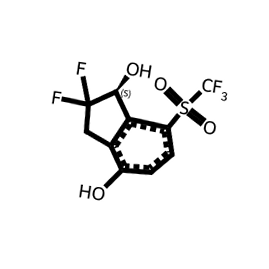 O=S(=O)(c1ccc(O)c2c1[C@H](O)C(F)(F)C2)C(F)(F)F